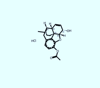 CC(=O)Oc1ccc2c3c1O[C@H]1[C@@H](O)C=C[C@H]4[C@@H](C2)N(C)CC[C@@]341.Cl